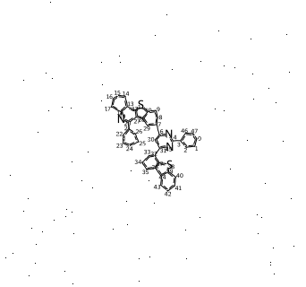 c1ccc(-c2nc(-c3ccc4sc5c6ccccc6nc(-c6ccccc6)c5c4c3)cc(-c3cccc4c3sc3ccccc34)n2)cc1